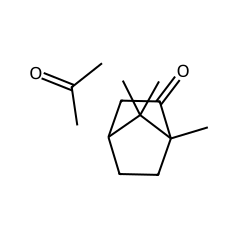 CC(C)=O.CC12CCC(CC1=O)C2(C)C